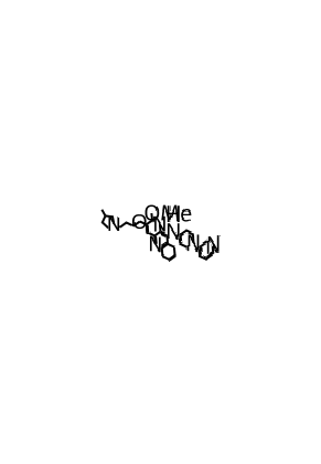 COc1nc2c(NC3CCN(c4cccnc4)CC3)c3c(nc2cc1OCCCN1CCC(C)C1)CCCC3